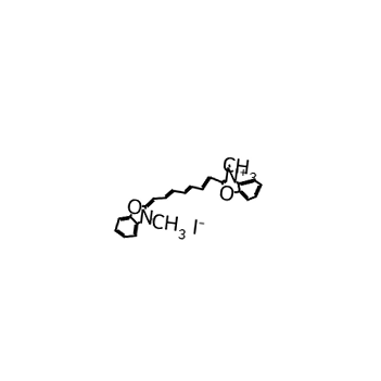 CN1C(=CC=CC=CC=Cc2oc3ccccc3[n+]2C)Oc2ccccc21.[I-]